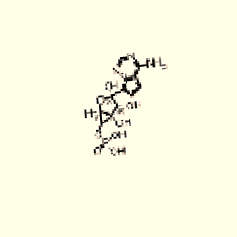 C[C@@]1(c2ccc3c(N)ncnn23)O[C@@H]2C(OP(=O)(O)O)[C@]2(O)[C@H]1O